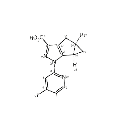 O=C(O)c1nn(-c2cc(F)ccn2)c2c1C[C@H]1C[C@@H]21